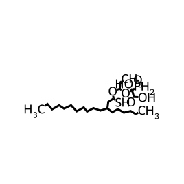 CCCCCCCCCCCC(CCCCCC)CC(S)OC(CC)OC(O)([PH2]=O)C(=O)O